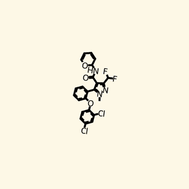 Cn1nc(C(F)F)c(C(=O)NC2C=CC=CO2)c1-c1ccccc1Oc1ccc(Cl)cc1Cl